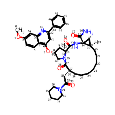 COc1ccc2c(O[C@@H]3C[C@H]4C(=O)N[C@]5(C(N)=O)C[C@H]5CCCCCCC[C@H](CC(=O)N5CCCCC5)C(=O)N4C3)cc(-c3ccccc3)nc2c1